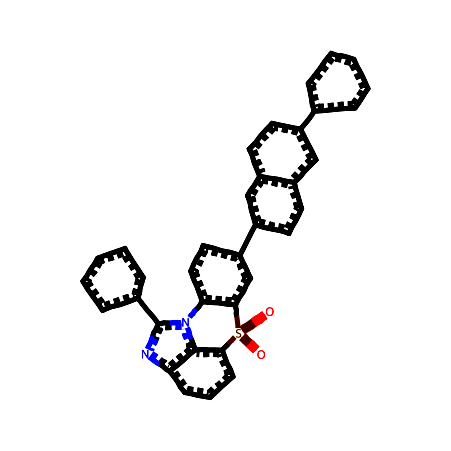 O=S1(=O)c2cc(-c3ccc4cc(-c5ccccc5)ccc4c3)ccc2-n2c(-c3ccccc3)nc3cccc1c32